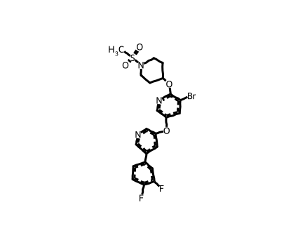 CS(=O)(=O)N1CCC(Oc2ncc(Oc3cncc(-c4ccc(F)c(F)c4)c3)cc2Br)CC1